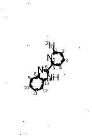 [2H]c1cccc(-c2nc3ccccc3[nH]2)n1